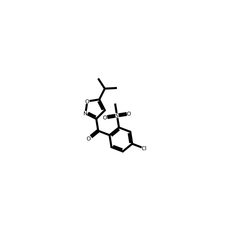 CC(C)c1cc(C(=O)c2ccc(Cl)cc2S(C)(=O)=O)no1